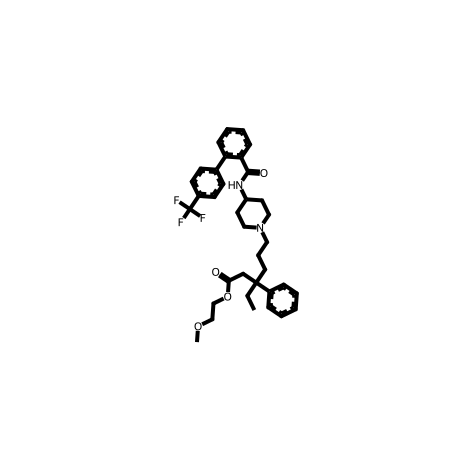 CCC(CCCN1CCC(NC(=O)c2ccccc2-c2ccc(C(F)(F)F)cc2)CC1)(CC(=O)OCCOC)c1ccccc1